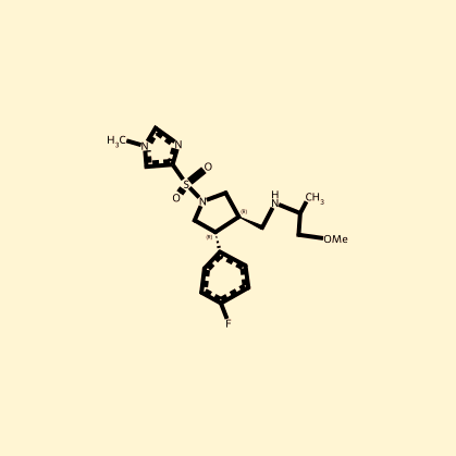 COCC(C)NC[C@@H]1CN(S(=O)(=O)c2cn(C)cn2)C[C@H]1c1ccc(F)cc1